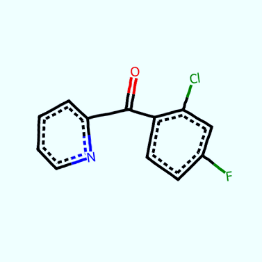 O=C(c1ccccn1)c1ccc(F)cc1Cl